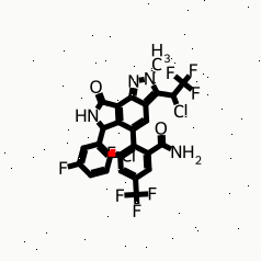 Cn1nc2c3c(c(-c4c(F)cc(C(F)(F)F)cc4C(N)=O)cc2c1C(Cl)C(F)(F)F)C(c1cc(F)ccc1Cl)NC3=O